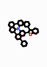 c1ccc(-c2ccc(-c3ccccc3N(c3cccc(-c4oc5ccccc5c4-c4ccccc4)c3)c3ccccc3-c3ccccc3)cc2)cc1